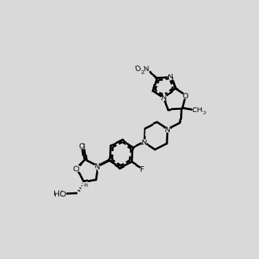 CC1(CN2CCN(c3ccc(N4C[C@H](CO)OC4=O)cc3F)CC2)Cn2cc([N+](=O)[O-])nc2O1